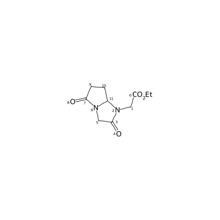 CCOC(=O)CN1C(=O)CN2C(=O)CCC12